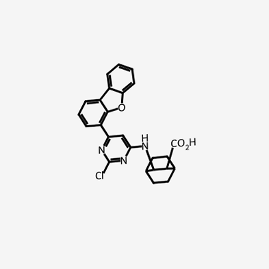 O=C(O)C1C2CCC(CC2)C1Nc1cc(-c2cccc3c2oc2ccccc23)nc(Cl)n1